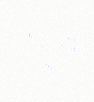 CC(=O)N1CCCC(C(=O)NC(CCCNC(=N)N)C(=O)c2nc3ccccc3s2)C1